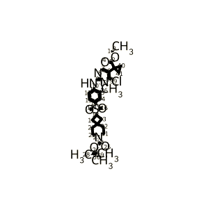 CCOC(=O)C1(c2cnc(Nc3ccc(S(=O)(=O)C4CC5(CCN(C(=O)OC(C)(C)C)CC5)C4)cc3C)nc2Cl)CC1